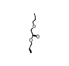 C=CCOC(=O)COCCC